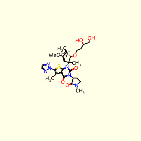 C=C/C(=C\C(C)([C@@H](C)OCCC(O)CO)n1c(=O)n([C@H]2CCN(C)C2=O)c(=O)c2c(C)c(-n3nccn3)sc21)OC